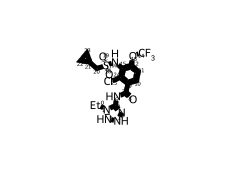 CCN1NNN=C1NC(=O)c1ccc(OC(F)(F)F)c(NS(=O)(=O)CC2CC2)c1Cl